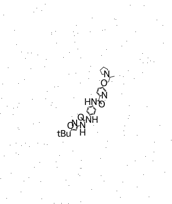 CC(COc1ccc(C(=O)Nc2ccc(NC(=O)Nc3cc(C(C)(C)C)on3)cc2)nc1)N1CCCC1